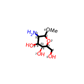 COC1OC(CO)[C@@H](O)C(O)C1N